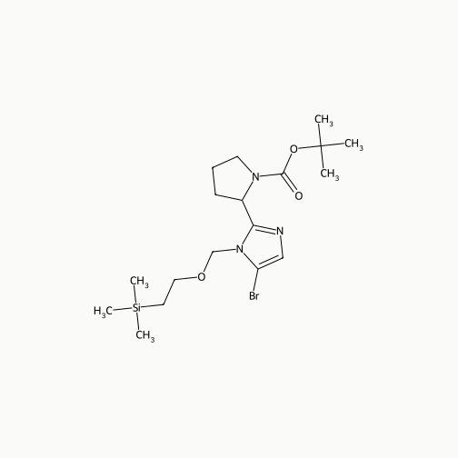 CC(C)(C)OC(=O)N1CCCC1c1ncc(Br)n1COCC[Si](C)(C)C